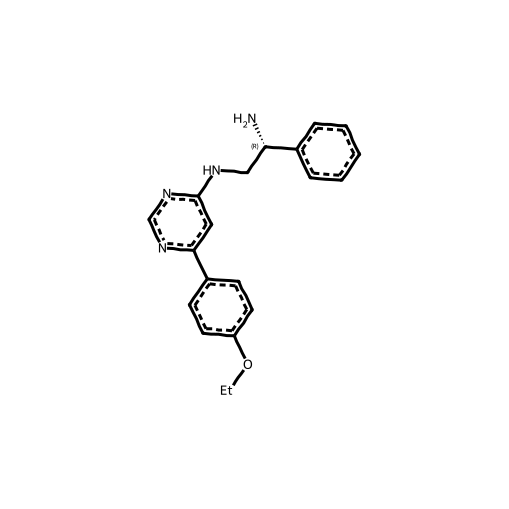 CCOc1ccc(-c2cc(NC[C@H](N)c3ccccc3)ncn2)cc1